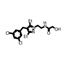 CCc1nn(CCNC(=O)CO)c(CC)c1Cc1cc(Cl)cc(Cl)c1